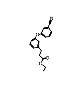 CCOC(=O)CCc1cccc(Oc2cccc(C#N)c2)c1